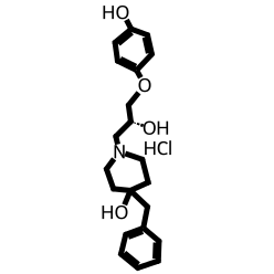 Cl.Oc1ccc(OC[C@H](O)CN2CCC(O)(Cc3ccccc3)CC2)cc1